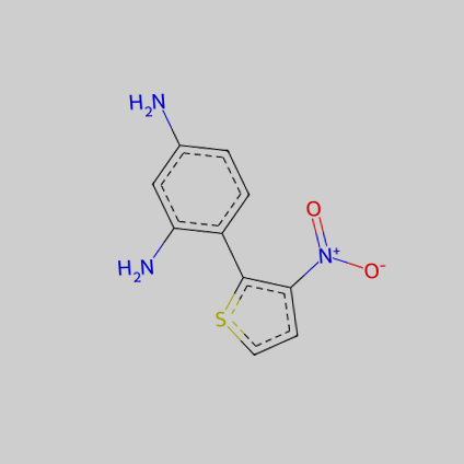 Nc1ccc(-c2sccc2[N+](=O)[O-])c(N)c1